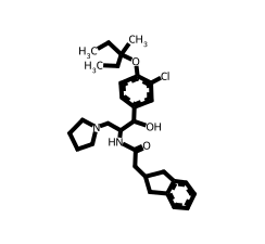 CCC(C)(CC)Oc1ccc(C(O)C(CN2CCCC2)NC(=O)CC2Cc3ccccc3C2)cc1Cl